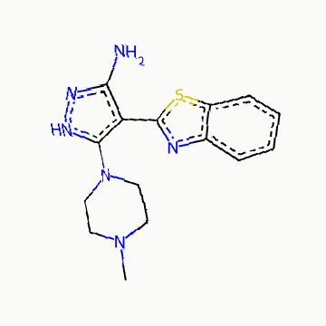 CN1CCN(c2[nH]nc(N)c2-c2nc3ccccc3s2)CC1